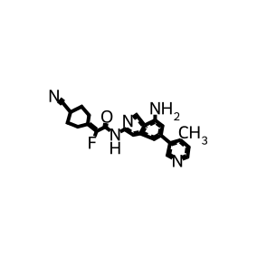 Cc1ccncc1-c1cc(N)c2cnc(NC(=O)C(F)=C3CCC(C#N)CC3)cc2c1